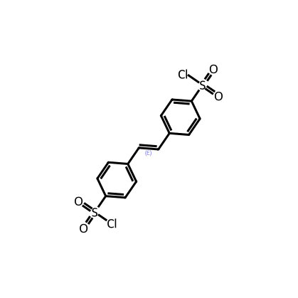 O=S(=O)(Cl)c1ccc(/C=C/c2ccc(S(=O)(=O)Cl)cc2)cc1